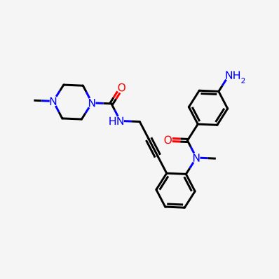 CN1CCN(C(=O)NCC#Cc2ccccc2N(C)C(=O)c2ccc(N)cc2)CC1